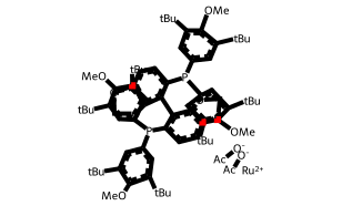 CC(=O)[O-].CC(=O)[O-].COc1c(C(C)(C)C)cc(P(c2cc(C(C)(C)C)c(OC)c(C(C)(C)C)c2)c2ccc3c(c2-c2c(P(c4cc(C(C)(C)C)c(OC)c(C(C)(C)C)c4)c4cc(C(C)(C)C)c(OC)c(C(C)(C)C)c4)ccc4c2OCO4)OCO3)cc1C(C)(C)C.[Ru+2]